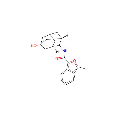 Cc1oc(C(=O)NC2[C@@H]3CC4C[C@H]2CC(O)(C4)C3)c2ccccc12